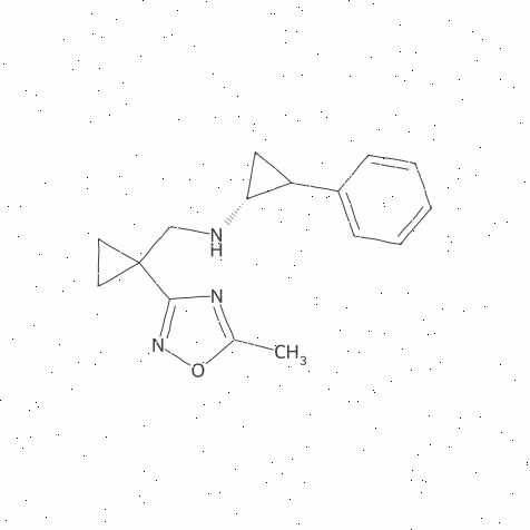 Cc1nc(C2(CN[C@@H]3CC3c3ccccc3)CC2)no1